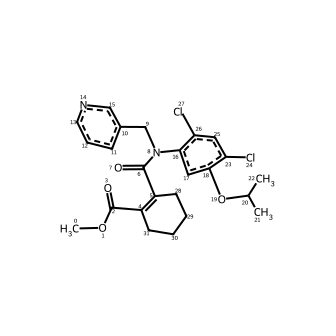 COC(=O)C1=C(C(=O)N(Cc2cccnc2)c2cc(OC(C)C)c(Cl)cc2Cl)CCCC1